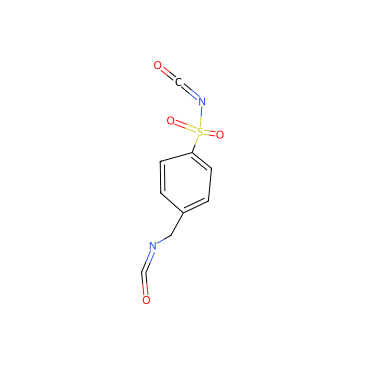 O=C=NCc1ccc(S(=O)(=O)N=C=O)cc1